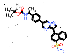 CC(NC(=O)OC(C)(C)C)c1ccc(-c2cnc3c(-c4ccc(S(N)(=O)=O)c5ccccc45)cnn3c2)cc1